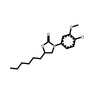 CCCCCCC1CN(c2ccc(Cl)c(OC)c2)C(=O)O1